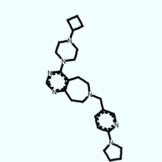 c1nc2c(c(N3CCN(C4CCC4)CC3)n1)CCN(Cc1ccc(N3CCCC3)nc1)CC2